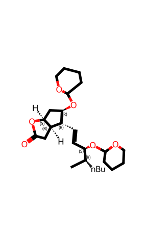 CCCC[C@@H](C)[C@@H](C=C[C@@H]1[C@H]2CC(=O)O[C@H]2C[C@H]1OC1CCCCO1)OC1CCCCO1